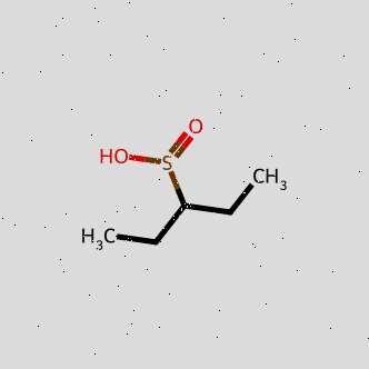 CCC(CC)S(=O)O